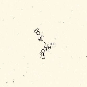 O=C(Cc1ccc2c(c1)OCO2)NCCCCC(NS(=O)(=O)c1ccc2oc3ccccc3c2c1)C(=O)O